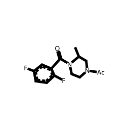 CC(=O)N1CCN(C(=O)c2cc(F)ccc2F)C(C)C1